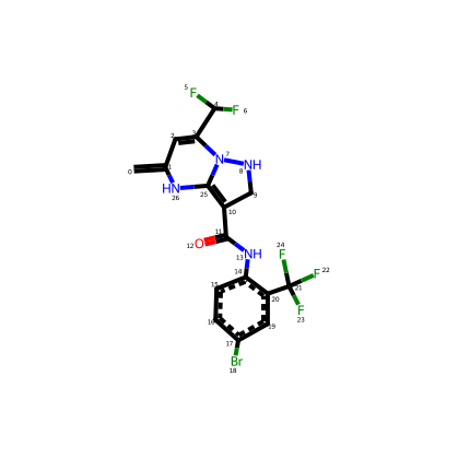 C=C1C=C(C(F)F)N2NCC(C(=O)Nc3ccc(Br)cc3C(F)(F)F)=C2N1